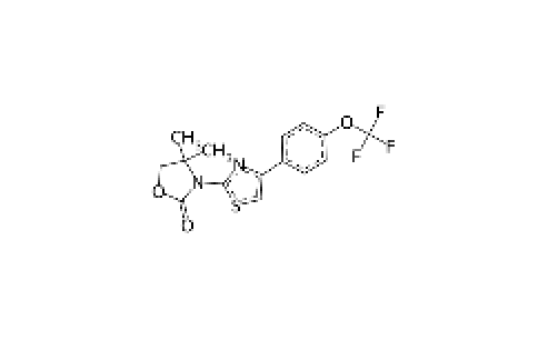 CC1(C)COC(=O)N1c1nc(-c2ccc(OC(F)(F)F)cc2)cs1